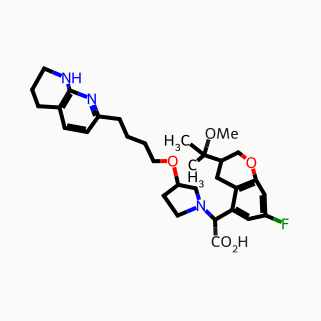 COC(C)(C)C1COc2cc(F)cc(C(C(=O)O)N3CCC(OCCCCc4ccc5c(n4)NCCC5)C3)c2C1